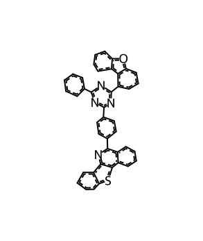 c1ccc(-c2nc(-c3ccc(-c4nc5c6ccccc6sc5c5ccccc45)cc3)nc(-c3cccc4oc5ccccc5c34)n2)cc1